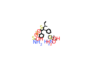 C.C=CC(C)c1scc(-c2ccccc2S(C)(=O)=O)c1-c1ccccc1.NC(O)=S.NC(O)=S.O